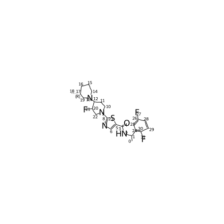 CC(NC(=O)c1cnc(N2CCC(N3CCC[C@@H](C)C3)C(F)C2)s1)c1cc(F)ccc1F